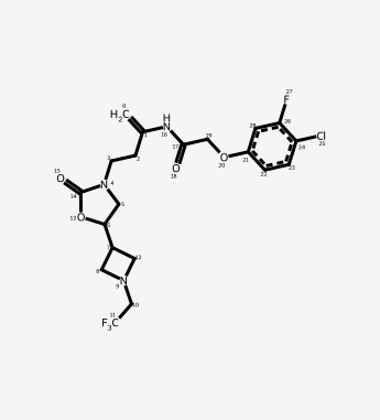 C=C(CCN1CC(C2CN(CC(F)(F)F)C2)OC1=O)NC(=O)COc1ccc(Cl)c(F)c1